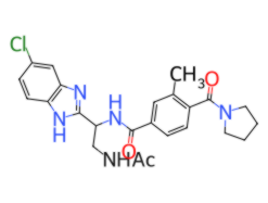 CC(=O)NCC(NC(=O)c1ccc(C(=O)N2CCCC2)c(C)c1)c1nc2cc(Cl)ccc2[nH]1